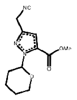 COC(=O)c1cc(CN=O)nn1C1CCCCO1